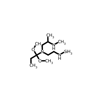 CCC(OC)(OC)N(CCN[SiH3])CC(C)NC